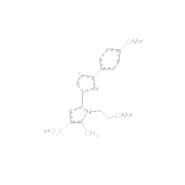 COCCn1c(-c2csc(-c3ccc(OC)cc3)n2)cc(C(=O)O)c1C